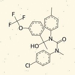 Cc1ccc(N(C(=O)N(C)c2ccc(Cl)cc2)C(C)(O)c2cccc(OC(F)(F)F)c2)cc1